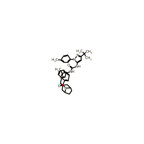 Cc1ccc(-n2nc(C(C)(C)C)cc2NC(=O)Nc2cccc(CC3CC4CCC(C3)N4C(=O)c3cccc(C)n3)c2)cc1